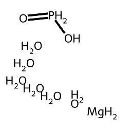 O.O.O.O.O.O.O=[PH2]O.[MgH2]